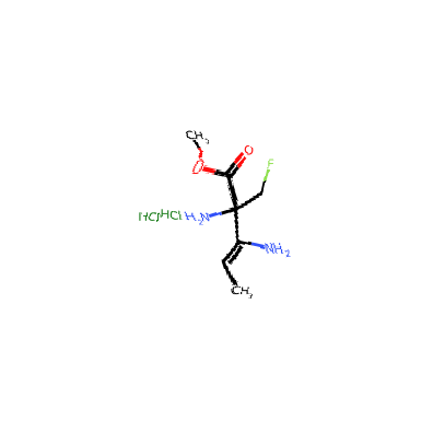 CC=C(N)C(N)(CF)C(=O)OC.Cl.Cl